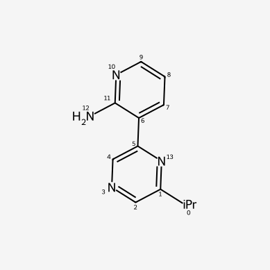 CC(C)c1cncc(-c2cccnc2N)n1